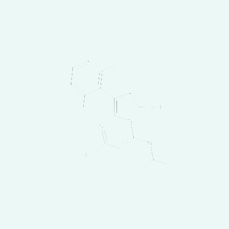 CCC(CC)Nc1cc(C)nc2c(-c3c(C)cc(Cl)cc3C)cc(C)n12